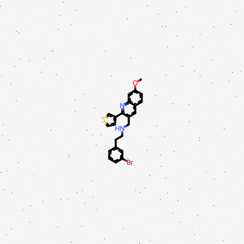 COc1ccc2cc(CNCCc3cccc(Br)c3)c(-c3ccsc3)nc2c1